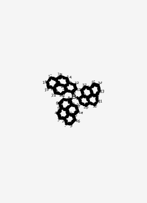 c1cc2ccc3ccc(B(c4ccc5ccc6cccc7ccc4c5c67)c4ccc5ccc6cccc7ccc4c5c67)c4ccc(c1)c2c34